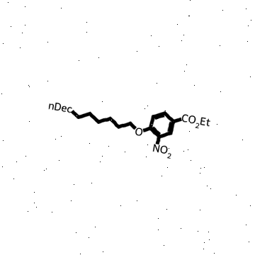 CCCCCCCCCCCCCCCCOc1c[c]c(C(=O)OCC)cc1[N+](=O)[O-]